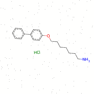 Cl.NCCCCCCCOc1ccc(-c2ccccc2)cc1